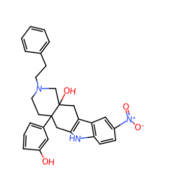 O=[N+]([O-])c1ccc2[nH]c3c(c2c1)CC1(O)CN(CCc2ccccc2)CCC1(c1cccc(O)c1)C3